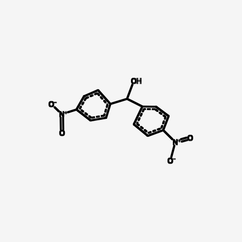 O=[N+]([O-])c1ccc(C(O)c2ccc([N+](=O)[O-])cc2)cc1